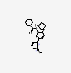 C=C/C(=C\C(C)=N/C)c1ccc2c(n1)N(C(=O)N1CCCCC1)[C@H]1CCN2C1